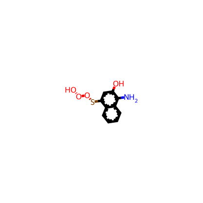 Nc1c(O)cc(SOOO)c2ccccc12